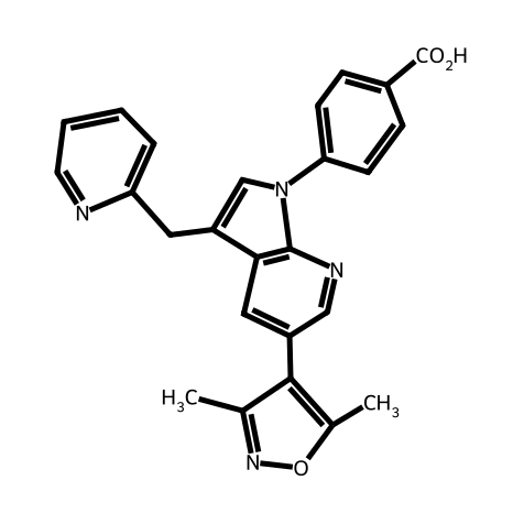 Cc1noc(C)c1-c1cnc2c(c1)c(Cc1ccccn1)cn2-c1ccc(C(=O)O)cc1